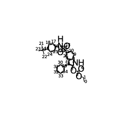 CCOC(=O)Oc1[nH]c2ccc(S(=O)(=O)Nc3ccc(C(C)(C)C)cc3)cc2c1-c1ccccc1